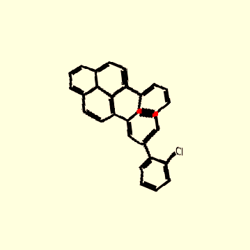 Clc1ccccc1-c1cccc(C2=C3C(c4ccccc4)=CC=C4C=CC=C(C=C2)C43)c1